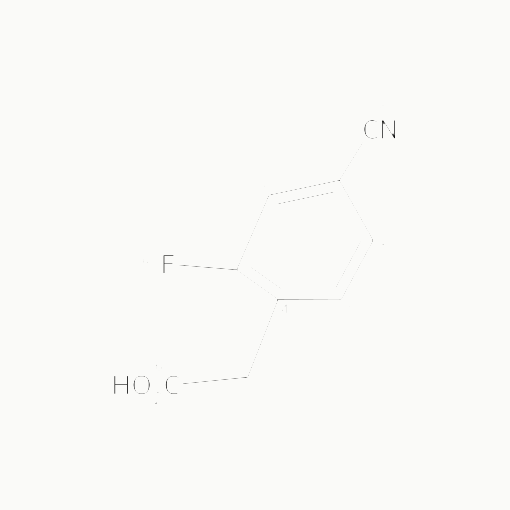 N#Cc1ccc(CC(=O)O)c(F)c1